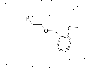 COc1ccccc1COCCF